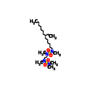 C=CCCCCCC(C=C)CCCCCCN(C)S(=O)(=O)N(C)CCN(C)S(=O)(=O)N(C)C